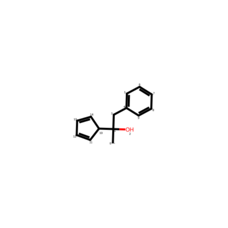 [CH2]C(O)(Cc1ccccc1)C1C=CC=C1